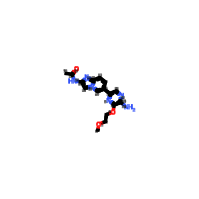 COCCOc1nc(-c2ccc3nc(NC(C)=O)cn3c2)cnc1N